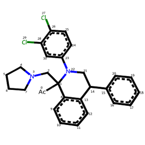 CC(=O)C1(CN2CCCC2)c2ccccc2C(c2ccccc2)CN1c1ccc(Cl)c(Cl)c1